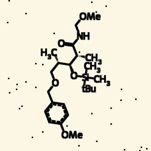 COCNC(=O)[C@H](C)[C@@H](O[Si](C)(C)C(C)(C)C)[C@@H](C)COCc1ccc(OC)cc1